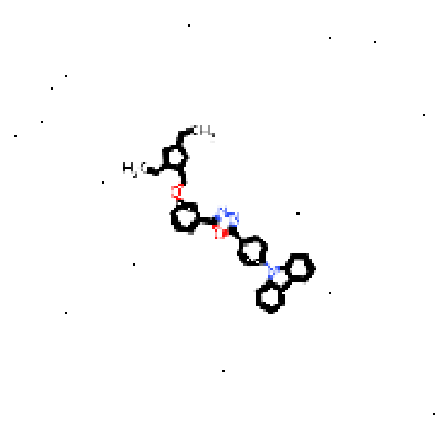 C=CC1CC(C=C)C(COc2cccc(-c3nnc(-c4ccc(-n5c6ccccc6c6ccccc65)cc4)o3)c2)C1